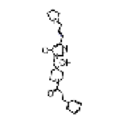 O=C(CCc1ccccc1)N1CCC(O)(Cn2cnc(/C=C/CN3CCCC3)cc2=O)CC1